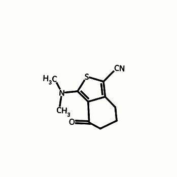 CN(C)c1sc(C#N)c2c1C(=O)CCC2